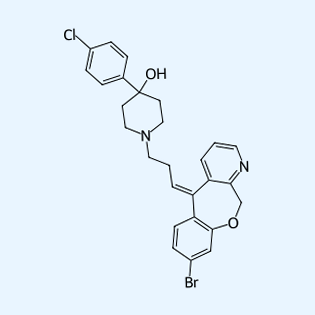 OC1(c2ccc(Cl)cc2)CCN(CC/C=C2/c3ccc(Br)cc3OCc3ncccc32)CC1